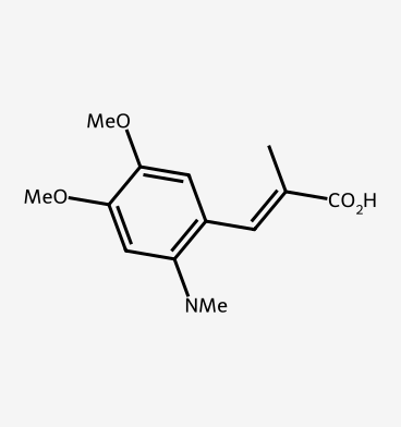 CNc1cc(OC)c(OC)cc1C=C(C)C(=O)O